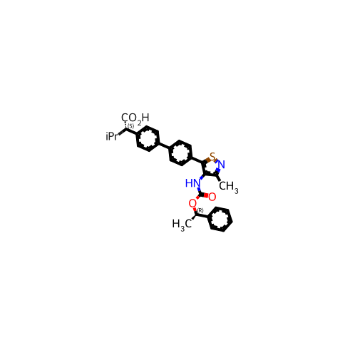 Cc1nsc(-c2ccc(-c3ccc([C@@H](C(=O)O)C(C)C)cc3)cc2)c1NC(=O)O[C@H](C)c1ccccc1